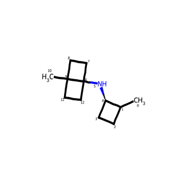 CC1CC[C@H]1NC12CCC1(C)CC2